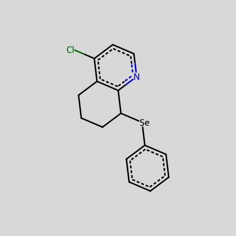 Clc1ccnc2c1CCCC2[Se]c1ccccc1